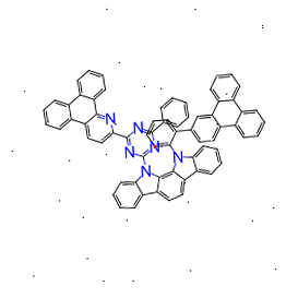 c1ccc(-c2nc(-c3ccc4c5ccccc5c5ccccc5c4n3)nc(-n3c4ccccc4c4ccc5c6ccccc6n(-c6ccccc6-c6ccc7c8ccccc8c8ccccc8c7c6)c5c43)n2)cc1